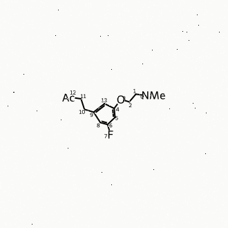 CNCCOc1cc(F)cc(CCC(C)=O)c1